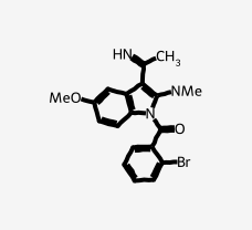 CNc1c(C(C)=N)c2cc(OC)ccc2n1C(=O)c1ccccc1Br